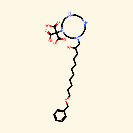 O=C(O)C(C(=O)O)(C(=O)O)N1CCNCCNCCN(CC(O)CCCCCCCCCOCc2ccccc2)CC1